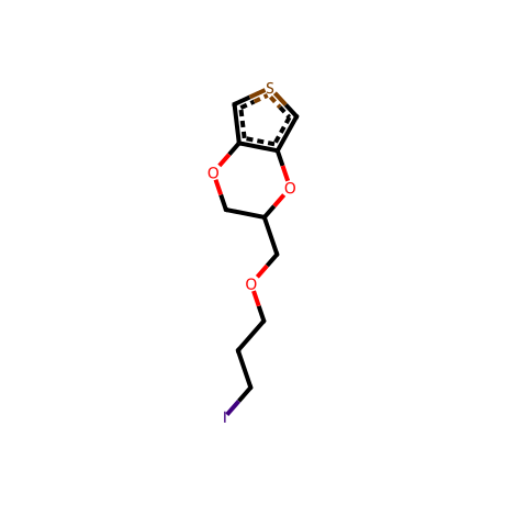 ICCCOCC1COc2cscc2O1